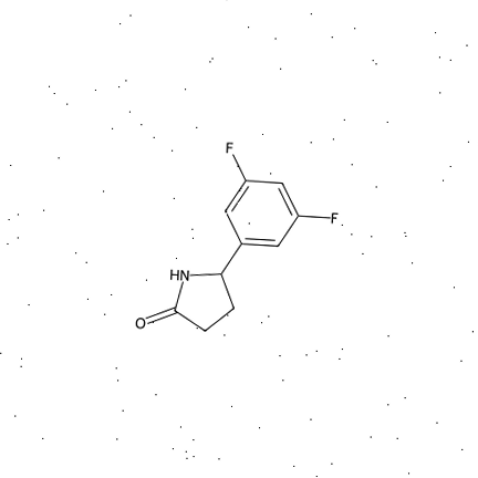 O=C1CCC(c2cc(F)cc(F)c2)N1